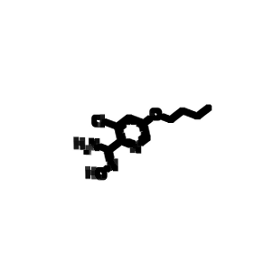 CCCCOc1cnc(/C(N)=N/O)c(Cl)c1